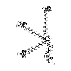 CC(C)[Si](OCCCCCCCCCCCOc1ccc(COC(=O)CNC(=O)CNC(=O)CN)c(OCCCCCCCCCCCO[Si](C(C)C)(C(C)C)C(C)C)c1OCCCCCCCCCCCO[Si](C(C)C)(C(C)C)C(C)C)(C(C)C)C(C)C